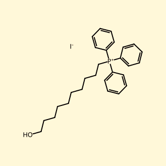 OCCCCCCCCCC[P+](c1ccccc1)(c1ccccc1)c1ccccc1.[I-]